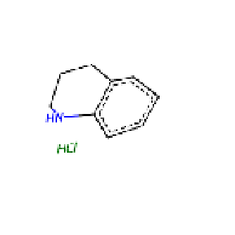 Cl.c1ccc2c(c1)CCCN2